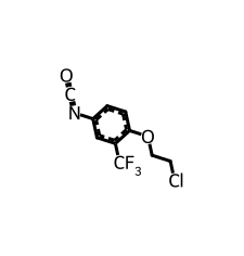 O=C=Nc1ccc(OCCCl)c(C(F)(F)F)c1